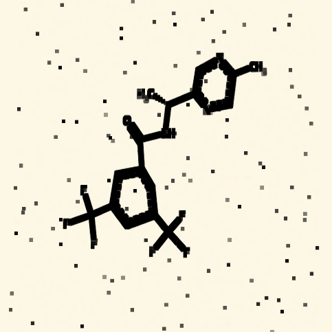 Cc1cnc([C@@H](C)NC(=O)c2cc(C(F)(F)F)cc(C(F)(F)F)c2)cn1